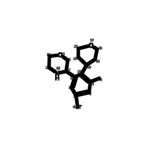 Cc1cc(Br)cc(C2COCCN2)c1C1CCOCC1